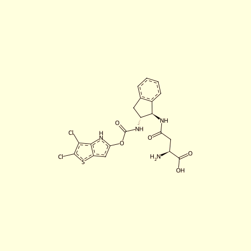 N[C@@H](CC(=O)N[C@@H]1c2ccccc2C[C@H]1NC(=O)Oc1cc2sc(Cl)c(Cl)c2[nH]1)C(=O)O